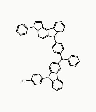 Cc1ccc(-n2c3ccccc3c3cc(N(c4ccccc4)c4ccc(-n5c6ccccc6c6c7ccn(-c8ccccc8)c7ccc65)cc4)ccc32)cc1